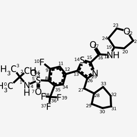 CC(C)(C)NS(=O)(=O)c1c(F)cc(-c2sc(C(=O)NC3CCOCC3)nc2CC2CCCCC2)cc1C(F)(F)F